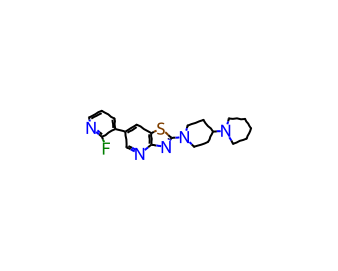 Fc1ncccc1-c1cnc2nc(N3CCC(N4CCCCC4)CC3)sc2c1